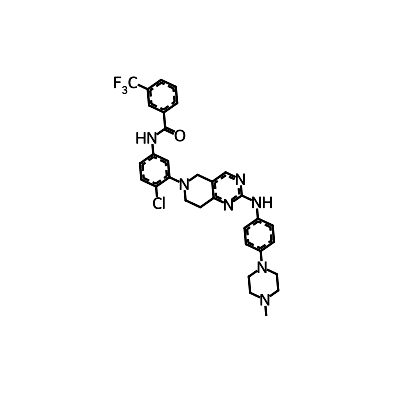 CN1CCN(c2ccc(Nc3ncc4c(n3)CCN(c3cc(NC(=O)c5cccc(C(F)(F)F)c5)ccc3Cl)C4)cc2)CC1